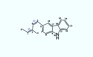 C/C=C(C)\C=C/c1ccc2[nH]c3ccccc3c2c1